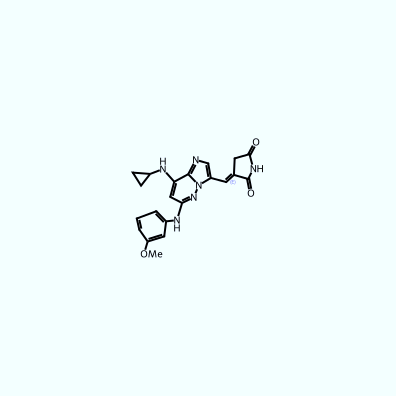 COc1cccc(Nc2cc(NC3CC3)c3ncc(/C=C4\CC(=O)NC4=O)n3n2)c1